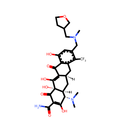 CN(Cc1cc(O)c2c(c1C(F)(F)F)C[C@H]1C[C@H]3[C@H](N(C)C)C(O)=C(C(N)=O)C(=O)[C@@]3(O)C(O)=C1C2=O)CC1CCOC1